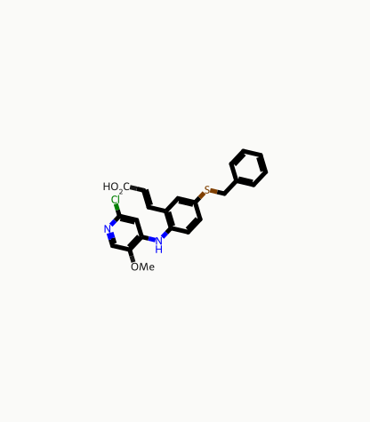 COc1cnc(Cl)cc1Nc1ccc(SCc2ccccc2)cc1C=CC(=O)O